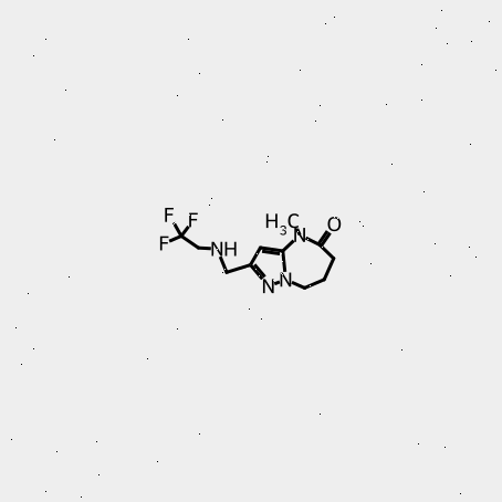 CN1C(=O)CCCn2nc(CNCC(F)(F)F)cc21